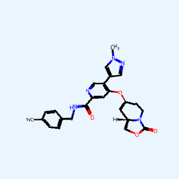 Cn1cc(-c2cnc(C(=O)NCc3ccc(C#N)cc3)cc2O[C@H]2CCN3C(=O)OC[C@@H]3C2)cn1